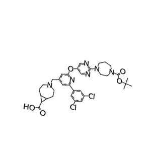 CC(C)(C)OC(=O)N1CCCN(c2ncc(Oc3cc(CN4CCC5C(CC4)C5C(=O)O)cc(-c4cc(Cl)cc(Cl)c4)n3)cn2)CC1